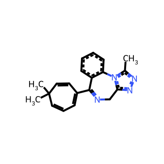 Cc1nnc2n1-c1ccccc1C(C1=CC=CC(C)(C)C=C1)=NC2